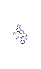 CC(C)c1cc(C(C)C)c2ccc(CC(C)c3cc(C(C)C)c4ccccc4n3)nc2n1